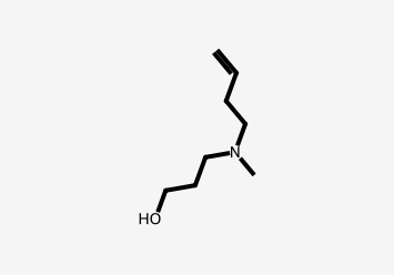 C=CCCN(C)CCCO